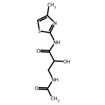 CC(=O)NCC(O)C(=O)Nc1nc(C)cs1